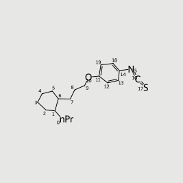 CCCC1CCCCC1CCCOc1ccc(N=C=S)cc1